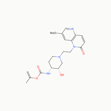 C=C(C)OC(=O)N[C@@H]1CCN(CCn2c(=O)ccc3ncc(OC)cc32)C[C@@H]1O